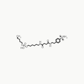 C=CCCCOP(=O)(O)OCCCCCCNC(=O)CCC(=O)NCCc1ccc(S(N)(=O)=O)cc1